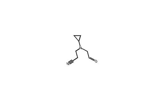 N#CCCN(CC=O)C1CC1